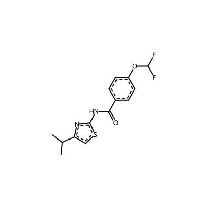 CC(C)c1csc(NC(=O)c2ccc(OC(F)F)cc2)n1